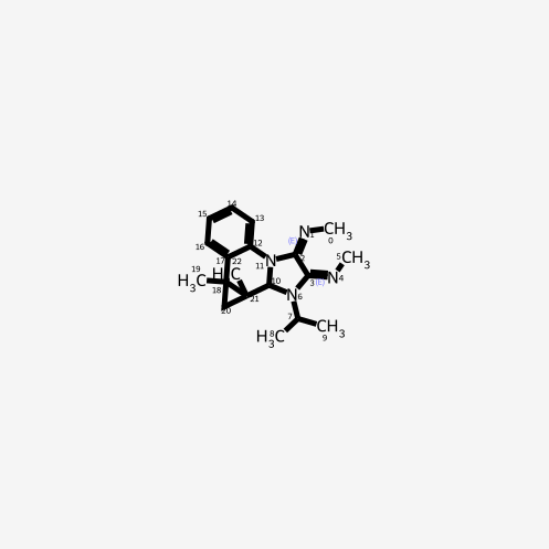 C/N=C1\C(=N/C)N(C(C)C)C2N1c1ccccc1C1(C)CC21C